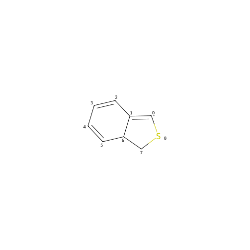 [C]1=C2C=CC=CC2CS1